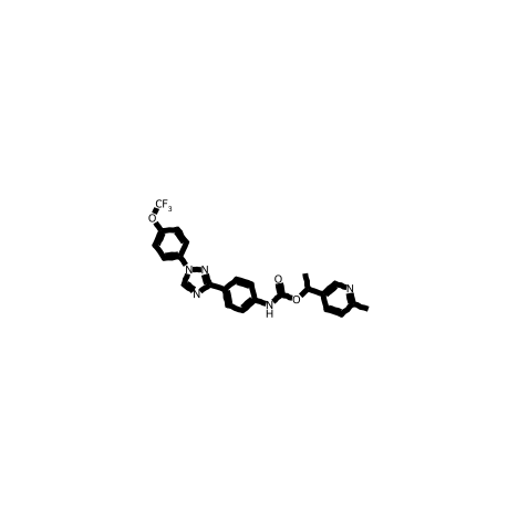 Cc1ccc(C(C)OC(=O)Nc2ccc(-c3ncn(-c4ccc(OC(F)(F)F)cc4)n3)cc2)cn1